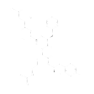 N=C(N)NCCC[C@H](NC(=O)[C@H](Cc1ccccc1)NC(=O)[C@H](CO)NC(=O)[C@@H](N)CC(N)=O)C(=O)N[C@@H](Cc1ccc(O)cc1)C(=O)O